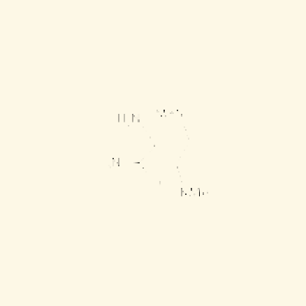 CCC(N)CN.CNCCNC